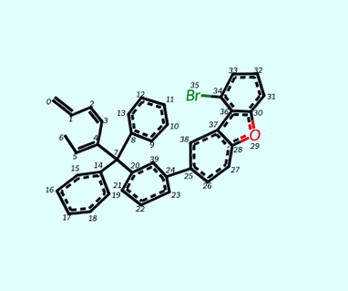 C=C/C=C\C(=C/C)C(c1ccccc1)(c1ccccc1)c1cccc(-c2ccc3oc4cccc(Br)c4c3c2)c1